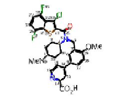 CN[C@H]1CC[C@@H](N(Cc2cc(-c3ccnc(C(=O)O)c3)ccc2OC)C(=O)c2sc3c(F)ccc(F)c3c2Cl)CC1